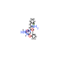 CNC(=O)N(C)C(=O)[C@@H](Cc1ccccc1)NC(=O)C[C@H](N)Cc1ccccc1F